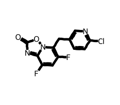 O=c1nc2c(F)cc(F)c(Cc3ccc(Cl)nc3)n2o1